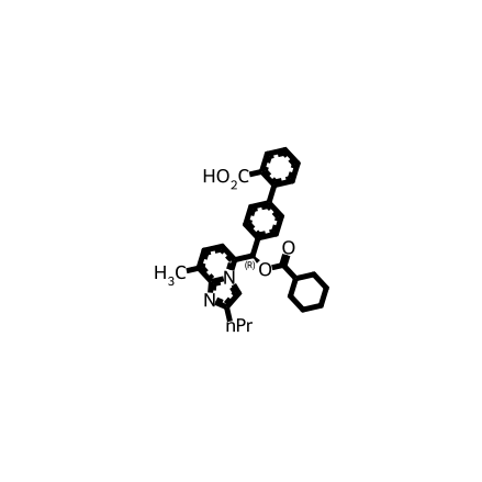 CCCc1cn2c([C@H](OC(=O)C3CCCCC3)c3ccc(-c4ccccc4C(=O)O)cc3)ccc(C)c2n1